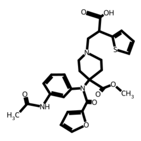 COC(=O)C1(N(C(=O)c2ccco2)c2cccc(NC(C)=O)c2)CCN(CC(C(=O)O)c2cccs2)CC1